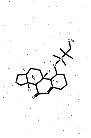 CC(=O)OCC(C)(C)[Si](C)(C)OC1CCCC2=CC(=O)[C@H]3[C@@H]4CCC[C@@]4(C)CC[C@@H]3[C@]21C